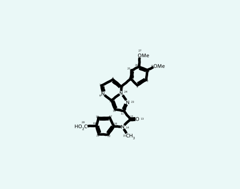 COc1ccc(-c2ccnc3cc(C(=O)N(C)c4ccc(C(=O)O)cc4)nn23)cc1OC